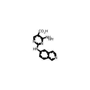 CCCNc1nc(Nc2ccc3cnccc3c2)ncc1C(=O)O